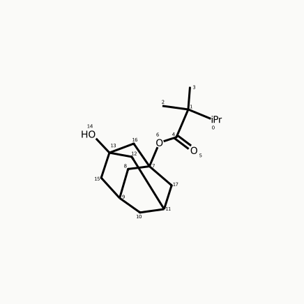 CC(C)C(C)(C)C(=O)OC12CC3CC(CC(O)(C3)C1)C2